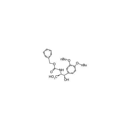 CCCCOc1ccc([C@@H](O)[C@H](NC(=O)OCc2ccccc2)C(=O)O)cc1OCCCC